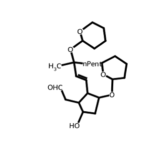 CCCCCC(C)(C=CC1C(OC2CCCCO2)CC(O)C1CC=O)OC1CCCCO1